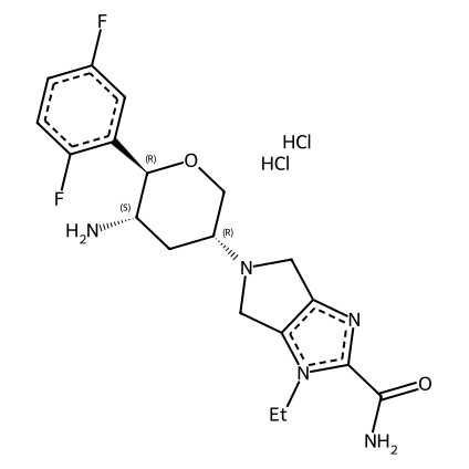 CCn1c(C(N)=O)nc2c1CN([C@H]1CO[C@H](c3cc(F)ccc3F)[C@@H](N)C1)C2.Cl.Cl